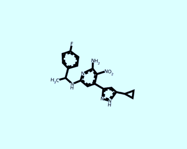 CC(Nc1cc(-c2cc(C3CC3)[nH]n2)c([N+](=O)[O-])c(N)n1)c1ccc(F)cc1